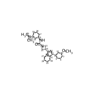 COc1cccc(-c2nc(C3CN(C(=O)Nc4cccc(N(C)C)c4)C3)n3ccccc23)c1